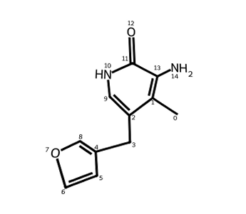 Cc1c(Cc2ccoc2)c[nH]c(=O)c1N